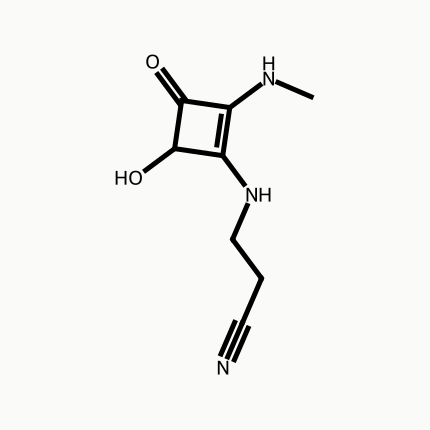 CNC1=C(NCCC#N)C(O)C1=O